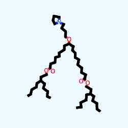 CCCCCC(CCCCC)CCOC(=O)CCCCCCCCCC(CCCCCCCC(=O)OCCC(CCCCC)CCCCC)OCCCCN1CCCC1